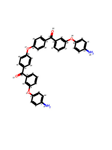 Nc1ccc(Oc2cccc(C(=O)c3ccc(Oc4ccc(C(=O)c5cccc(Oc6ccc(N)cc6)c5)cc4)cc3)c2)cc1